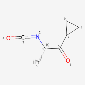 CC(C)[C@H](N=C=O)C(=O)C1CC1